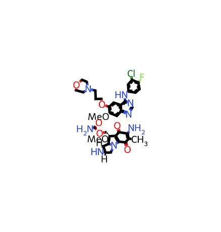 CO[C@@]12[C@H](COC(N)=O)C3=C(C(=O)C(C)=C(N)C3=O)N1C[C@@H]1N[C@@H]12.COc1cc2ncnc(Nc3ccc(F)c(Cl)c3)c2cc1OCCCN1CCOCC1